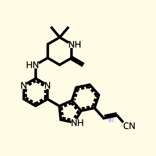 C=C1CC(Nc2nccc(-c3c[nH]c4c(/C=C/C#N)cccc34)n2)CC(C)(C)N1